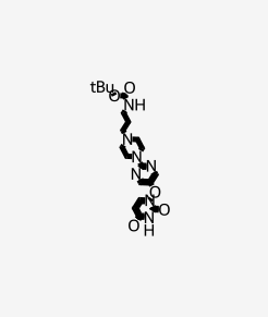 CC(C)(C)OC(=O)NCCCN1CCN(c2ncc(On3ccc(=O)[nH]c3=O)cn2)CC1